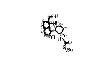 CC(C)(C)OC(=O)NC[C@H]1CC[C@H](Nc2c(CO)cnc3ccc(Cl)cc23)CC1